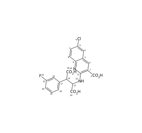 O=C(O)c1cc2cc(Cl)ccc2nc1NC(C(=O)O)C(C(=O)O)c1cccc(F)c1